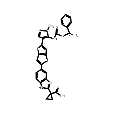 C[C@@H](OC(=O)Nc1c(-c2cc3sc(-c4ccc5[nH]c(C6(C(=O)O)CC6)nc5c4)cc3s2)cnn1C)c1ccccc1